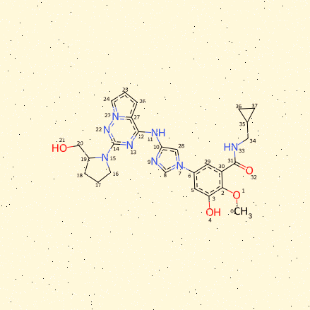 COc1c(O)cc(-n2cnc(Nc3nc(N4CCCC4CO)nn4cccc34)c2)cc1C(=O)NCC1CC1